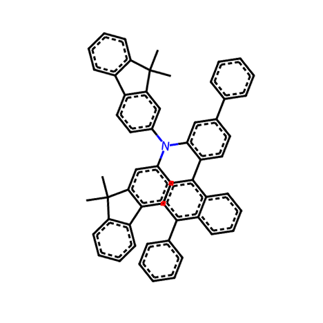 CC1(C)c2ccccc2-c2ccc(N(c3ccc4c(c3)C(C)(C)c3ccccc3-4)c3cc(-c4ccccc4)ccc3-c3ccc(-c4ccccc4)c4ccccc34)cc21